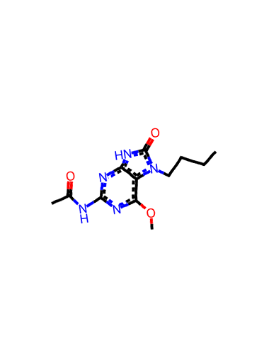 CCCCn1c(=O)[nH]c2nc(NC(C)=O)nc(OC)c21